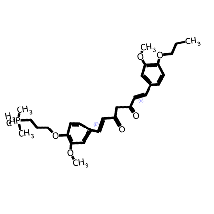 CCCOc1ccc(/C=C/C(=O)CC(=O)/C=C/c2ccc(OCCC[PH](C)(C)C)c(OC)c2)cc1OC